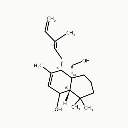 C=C/C(C)=C/C[C@H]1C(C)=CC(O)[C@H]2C(C)(C)CCC[C@]12CO